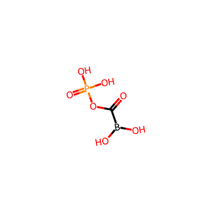 O=C(OP(=O)(O)O)B(O)O